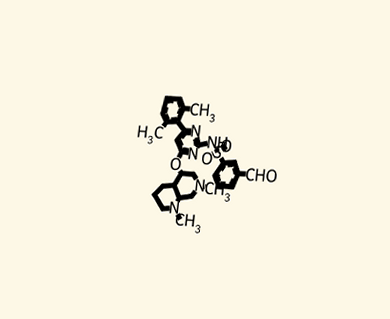 Cc1cccc(C)c1-c1cc(OC2CN(C)CC3C2CCCN3C)nc(NS(=O)(=O)c2cccc(C=O)c2)n1